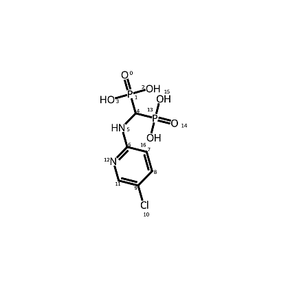 O=P(O)(O)C(Nc1ccc(Cl)cn1)P(=O)(O)O